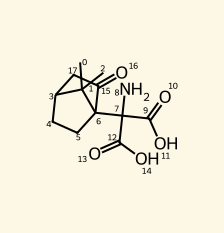 CC1(C)C2CCC1(C(N)(C(=O)O)C(=O)O)C(=O)C2